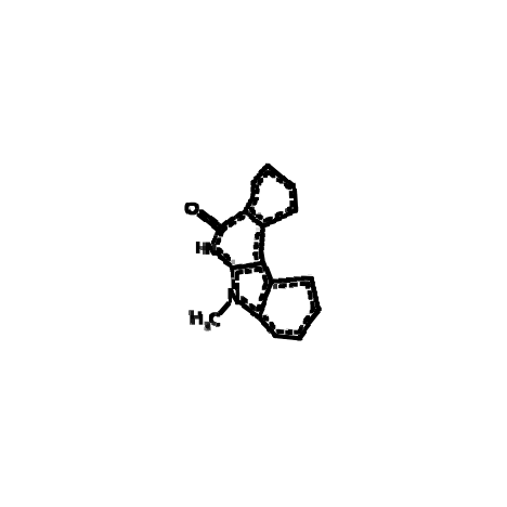 Cn1c2ccccc2c2c3ccccc3c(=O)[nH]c21